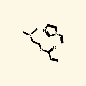 C=CC(=O)OCCN(C)C.C=Cn1ccnc1